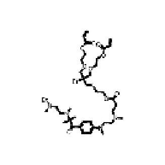 C=CC(=O)OCCOCC(CC)(COCCOC(=O)C=C)COCCOC(=O)CCN(C)CCN(C)c1ccc(C(=O)C(C)(C)N(C)CCN(C)CC)cc1